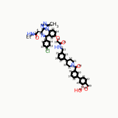 CCNC(=O)C[C@@H]1N=C(c2ccc(Cl)cc2)c2cc(OCC(=O)NCc3cccc(C4CCN(C(=O)c5cccc(-c6ccc7c(c6)B(O)OC7)c5)CC4)c3)ccc2-n2c(C)nnc21